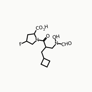 O=CN(O)CC(CC1CCC1)C(=O)N1CC(F)CC1C(=O)O